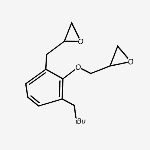 CCC(C)Cc1cccc(CC2CO2)c1OCC1CO1